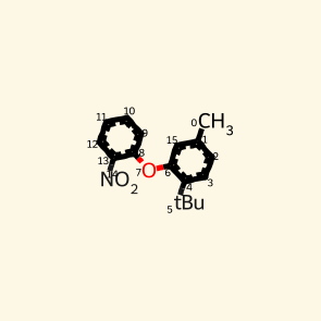 Cc1ccc(C(C)(C)C)c(Oc2ccccc2[N+](=O)[O-])c1